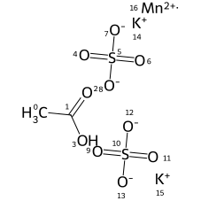 CC(=O)O.O=S(=O)([O-])[O-].O=S(=O)([O-])[O-].[K+].[K+].[Mn+2]